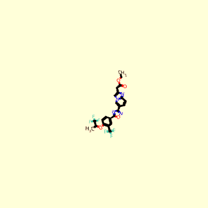 CCOC(=O)Cc1cn2cc(-c3noc(-c4ccc(OC(C)C(F)(F)F)c(C(F)(F)F)c4)n3)ccc2n1